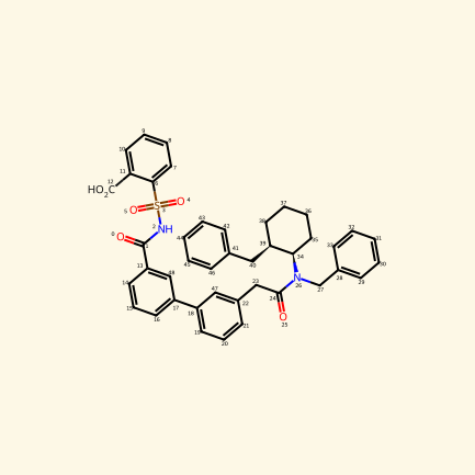 O=C(NS(=O)(=O)c1ccccc1C(=O)O)c1cccc(-c2cccc(CC(=O)N(Cc3ccccc3)[C@@H]3CCCC[C@@H]3Cc3ccccc3)c2)c1